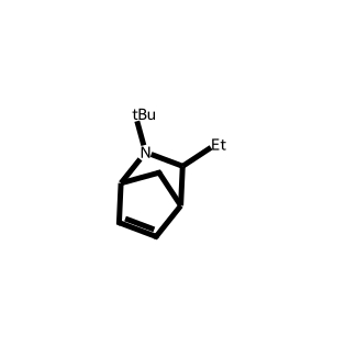 CCC1C2C=CC(C2)N1C(C)(C)C